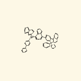 c1ccc(-c2ccc(N(c3ccc4ccccc4c3)c3ccc(-c4ccc5c(c4)C(c4ccccc4)(c4ccccc4)c4ccc6ccccc6c4-5)c4ccccc34)cc2)cc1